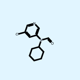 O=[C]N(c1cncc(Cl)c1)C1CCCCC1